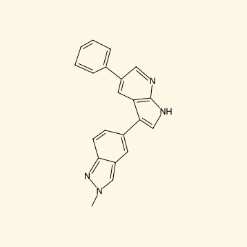 Cn1cc2cc(-c3c[nH]c4ncc(-c5ccccc5)cc34)ccc2n1